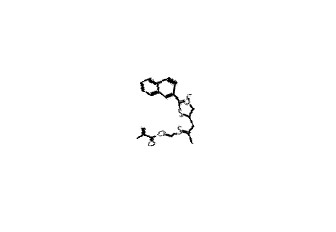 C=C(C)C(=O)OCSC(C)CC1CSC(c2ccc3ccccc3c2)S1